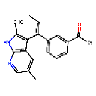 C/C=C(/c1cccc(C(=O)CC)c1)c1c(C=O)[nH]c2ncc(C)cc12